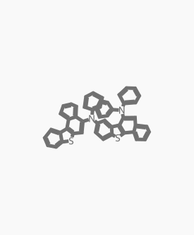 c1ccc(N(c2ccc3sc4c5ccccc5cc(N(c5ccccc5)c5ccccc5)c4c3c2)c2cc3sc4ccccc4c3c3ccccc23)cc1